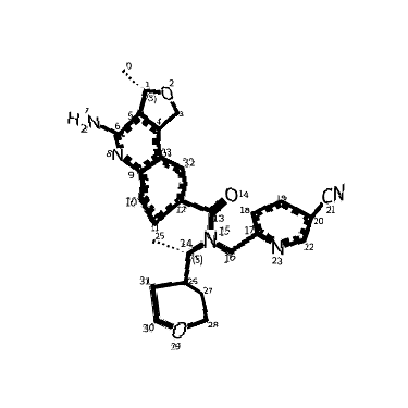 C[C@@H]1OCc2c1c(N)nc1ccc(C(=O)N(Cc3ccc(C#N)cn3)[C@@H](C)C3CCOCC3)cc21